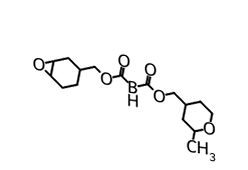 CC1CC(COC(=O)BC(=O)OCC2CCC3OC3C2)CCO1